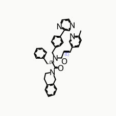 Cc1ccc(/C=C/C(=O)N(Cc2ccc(-c3cnccn3)cc2)[C@@H](Cc2ccccc2)C(=O)N2CCc3ccccc3C2)cn1